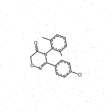 Cc1cccc(C)c1N1C(=O)CON=C1c1ccc(Cl)cc1